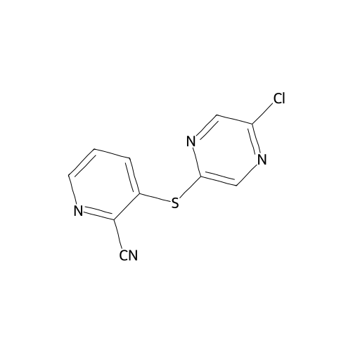 N#Cc1ncccc1Sc1cnc(Cl)cn1